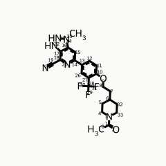 CC(=O)N1CCC(CCOc2ccc(-c3cc4c(c(C#N)n3)NNN4C)cc2C(F)(F)F)CC1